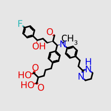 CN(c1ccc(CCC2=NCCCN2)cc1)[C@H](c1ccc(CCCC(C(=O)O)C(=O)O)cc1)[C@H](C=O)CC[C@H](O)c1ccc(F)cc1